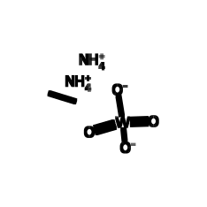 CC.[NH4+].[NH4+].[O]=[W](=[O])([O-])[O-]